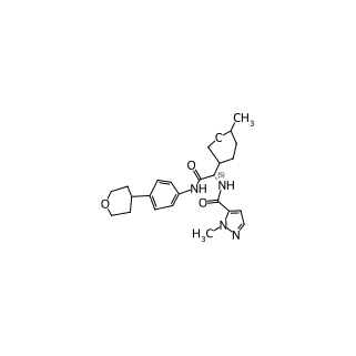 CC1CCC([C@H](NC(=O)c2ccnn2C)C(=O)Nc2ccc(C3CCOCC3)cc2)CC1